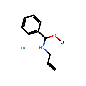 C=CCNC(OCC)c1ccccc1.Cl